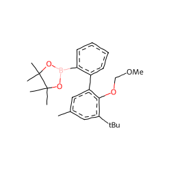 COCOc1c(-c2ccccc2B2OC(C)(C)C(C)(C)O2)cc(C)cc1C(C)(C)C